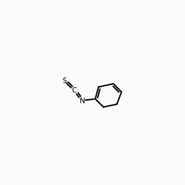 S=C=NC1=CC=CCC1